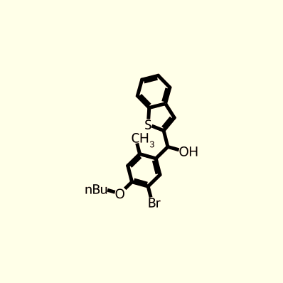 CCCCOc1cc(C)c(C(O)c2cc3ccccc3s2)cc1Br